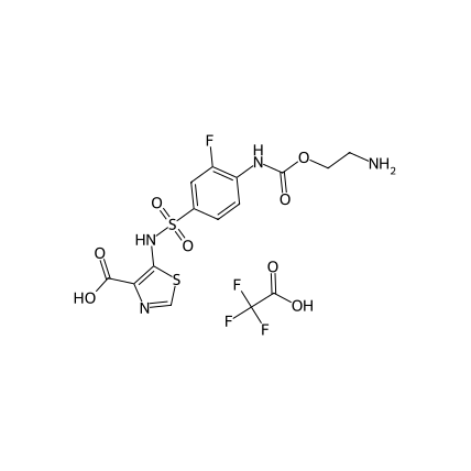 NCCOC(=O)Nc1ccc(S(=O)(=O)Nc2scnc2C(=O)O)cc1F.O=C(O)C(F)(F)F